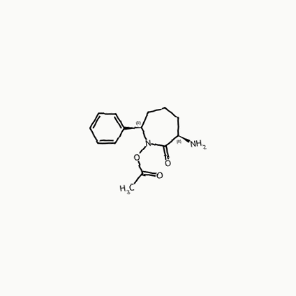 CC(=O)ON1C(=O)[C@H](N)CCC[C@@H]1c1ccccc1